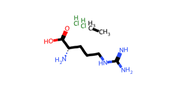 CC.Cl.Cl.N=C(N)NCCC[C@H](N)C(=O)O